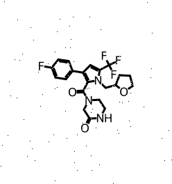 O=C1CN(C(=O)c2c(-c3ccc(F)cc3)cc(C(F)(F)F)n2CC2CCCO2)CCN1